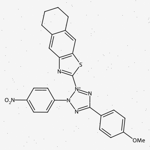 COc1ccc(-c2nn(-c3ccc([N+](=O)[O-])cc3)[n+](-c3nc4cc5c(cc4s3)CCCC5)n2)cc1